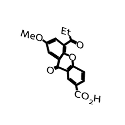 CCC(=O)c1cc(OC)cc2c(=O)c3cc(C(=O)O)ccc3oc12